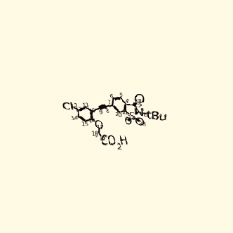 CC(C)(C)N1C(=O)c2ccc(C#Cc3cc(Cl)ccc3OCC(=O)O)cc2S1(=O)=O